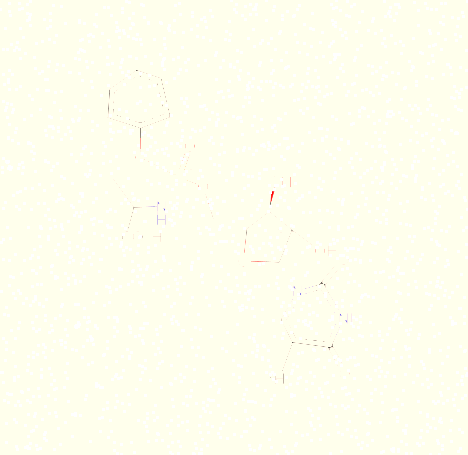 [2H]c1cn([C@@H]2O[C@H](CO[P@@](=O)(NC(C)C(=O)O)Oc3ccccc3)[C@@H](O)[C@@]2(C)O)c(=O)[nH]c1=O